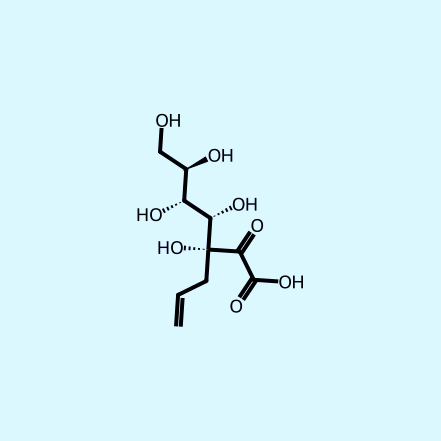 C=CC[C@](O)(C(=O)C(=O)O)[C@@H](O)[C@H](O)[C@H](O)CO